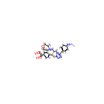 Nc1ccc(-c2nnc(SCc3ccc(B(O)O)cc3)n2CCCN2CCOCC2)cc1